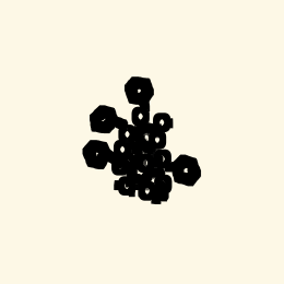 CO[C@H]1O[C@H](COCc2ccccc2)[C@@H](O[C@@H]2O[C@H]3COC(C)(C)O[C@H]3[C@H](OC)[C@H]2OC(=O)c2ccccc2)[C@H](OCc2ccccc2)[C@H]1OCc1ccccc1